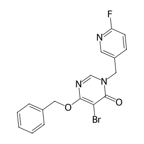 O=c1c(Br)c(OCc2ccccc2)ncn1Cc1ccc(F)nc1